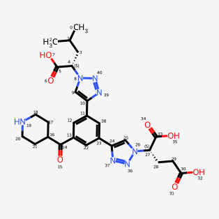 CC(C)C[C@@H](C(=O)O)n1cc(-c2cc(C(=O)C3CCNCC3)cc(-c3cn([C@@H](CCC(=O)O)C(=O)O)nn3)c2)nn1